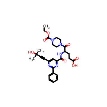 CCOC(=O)N1CCN(C(=O)C(CCC(=O)O)NC(=O)c2cc(C#CC(C)(C)O)nc(-c3ccccc3)n2)CC1